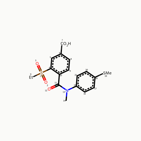 CCS(=O)(=O)c1cc(C(=O)O)ccc1C(=O)N(C)c1ccc(SC)cc1